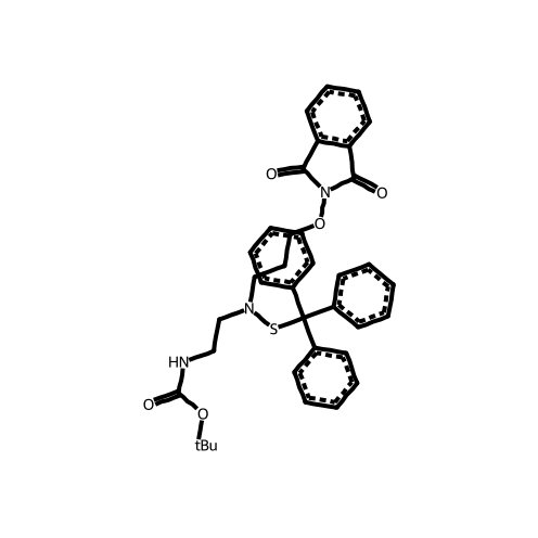 CC(C)(C)OC(=O)NCCN(CCCON1C(=O)c2ccccc2C1=O)SC(c1ccccc1)(c1ccccc1)c1ccccc1